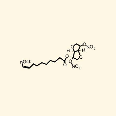 CCCCCCCC/C=C\CCCCCCCC(=O)O[C@@]1(O[N+](=O)[O-])CO[C@@H]2[C@H](O[N+](=O)[O-])CO[C@@H]21